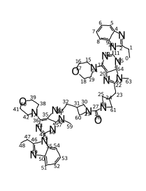 CCc1nc2ccccc2n1-c1nc(N2CCOCC2)c2nc(CC3CN(C(=O)N4CC(Cc5nc6c(N7CCOCC7)nc(-n7c(CC)nc8ccccc87)nc6n5C)C4)C3)n(C)c2n1